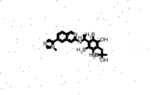 Bc1c(B)c(C(=C)Nc2cc3cc(-c4cncn4C)ccc3cn2)c(B)c(O)c1CC(B)(C)O